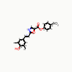 Cc1cc(/C=C/c2ncc(C(=O)Oc3ccc([N+](=O)[O-])cc3)o2)cc(C)c1O